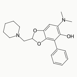 CN(C)c1cc2c(c(-c3ccccc3)c1O)OC(CN1CCCCC1)O2